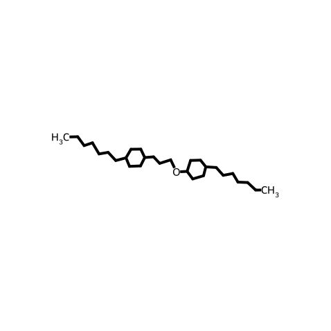 CCCCCCCC1CCC(CCCOC2CCC(CCCCCCC)CC2)CC1